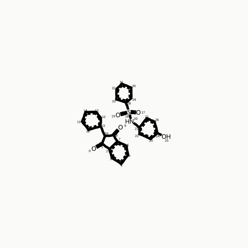 O=C1c2ccccc2C(=O)C1c1ccccc1.O=S(=O)(Nc1ccc(O)cc1)c1ccccc1